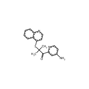 CC(C)(Sc1ccnc2ccccc12)C(=O)c1cc(N)ccn1